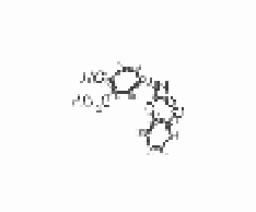 O=C(Nc1ccc(O)c(C(=O)O)c1)Oc1ccccc1Cl